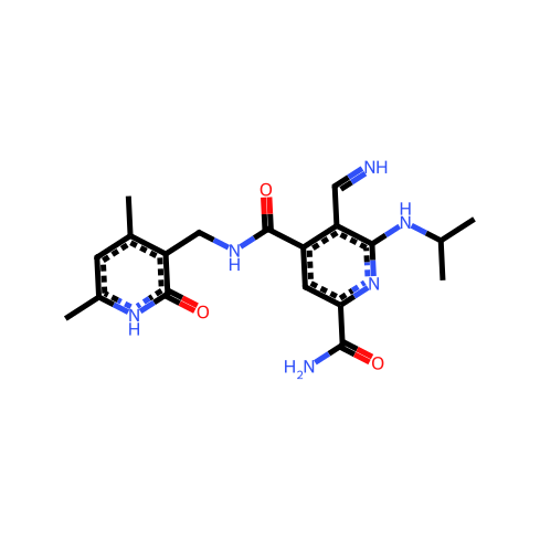 Cc1cc(C)c(CNC(=O)c2cc(C(N)=O)nc(NC(C)C)c2C=N)c(=O)[nH]1